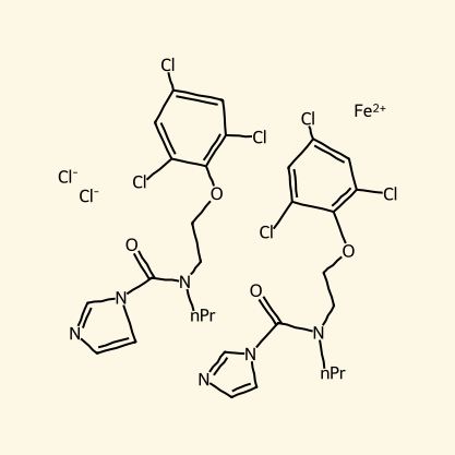 CCCN(CCOc1c(Cl)cc(Cl)cc1Cl)C(=O)n1ccnc1.CCCN(CCOc1c(Cl)cc(Cl)cc1Cl)C(=O)n1ccnc1.[Cl-].[Cl-].[Fe+2]